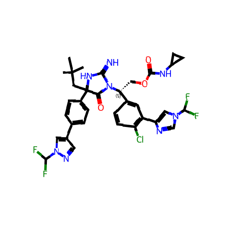 CC(C)(C)CC1(c2ccc(-c3cnn(C(F)F)c3)cc2)NC(=N)N([C@H](COC(=O)NC2CC2)c2ccc(Cl)c(-c3cn(C(F)F)cn3)c2)C1=O